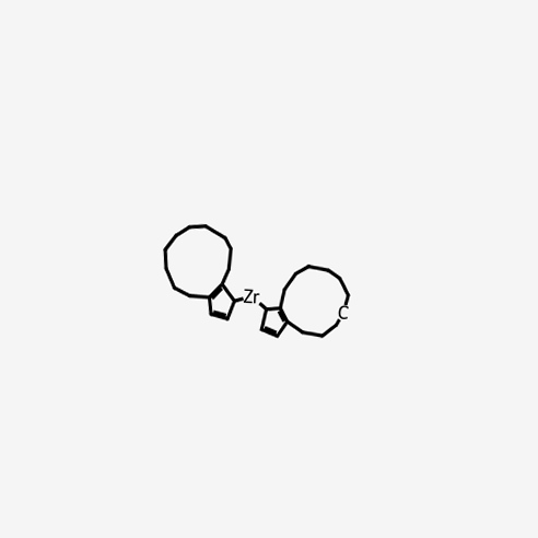 C1=C[CH]([Zr][CH]2C=CC3=C2CCCCCCCCCC3)C2=C1CCCCCCCCCC2